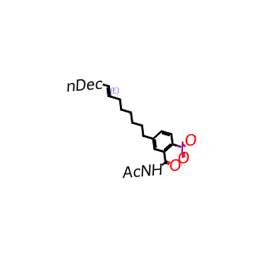 CCCCCCCCCC/C=C/CCCCCCc1ccc(I(=O)=O)c(C(=O)NC(C)=O)c1